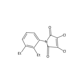 CCc1cccc(N2C(=O)C(Cl)=C(Cl)C2=O)c1CC